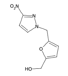 O=[N+]([O-])c1ccn(Cc2ccc(CO)o2)n1